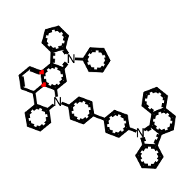 C1=CCC(c2ccccc2N(c2ccc(-c3ccc(-n4c5ccccc5c5ccc6ccccc6c54)cc3)cc2)c2ccc3c4ccccc4n(-c4ccccc4)c3c2)C=C1